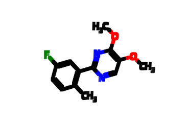 COc1cnc(-c2cc(F)ccc2C)nc1OC